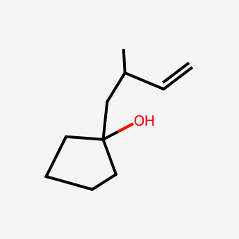 C=CC(C)CC1(O)CCCC1